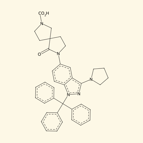 O=C(O)N1CCC2(CCN(c3ccc4c(c3)c(N3CCCC3)nn4C(c3ccccc3)(c3ccccc3)c3ccccc3)C2=O)C1